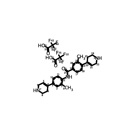 Cc1cc(C2=CCNCC2)ccc1NC(=O)c1ccc(C2=CCNCC2)c(C)c1.O=C(O)C(F)(F)F.O=C(O)C(F)(F)F